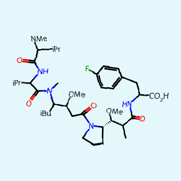 CCC(C)C(C(CC(=O)N1CCC[C@H]1C(OC)C(C)C(=O)NC(Cc1ccc(F)cc1)C(=O)O)OC)N(C)C(=O)C(NC(=O)C(NC)C(C)C)C(C)C